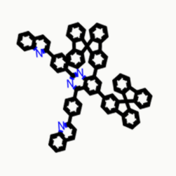 c1ccc2c(c1)-c1ccccc1C21c2ccccc2-c2ccc(-c3cc(-c4ccc5c(c4)C4(c6ccccc6-c6ccccc64)c4ccccc4-5)c4nc(-c5ccc(-c6ccc7ccccc7n6)cc5)nc(-c5ccc(-c6ccc7ccccc7n6)cc5)c4c3)cc21